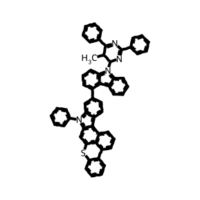 CC1C(c2ccccc2)=NC(c2ccccc2)=NC1n1c2ccccc2c2c(-c3ccc4c5c6cccc7c6c(cc5n(-c5ccccc5)c4c3)Sc3ccccc3-7)cccc21